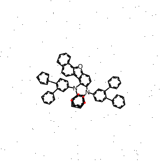 c1ccc(-c2ccc(N(c3ccccc3)c3ccc4oc5c6ccccc6ccc5c4c3N(c3ccccc3)c3ccc(-c4ccccc4)c(-c4ccccc4)c3)cc2-c2ccccc2)cc1